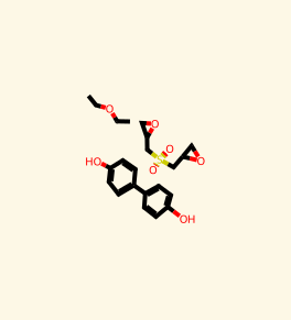 CCOCC.O=S(=O)(CC1CO1)CC1CO1.Oc1ccc(-c2ccc(O)cc2)cc1